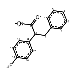 NC(=O)C(Cc1ccccc1)c1ccc(F)cc1